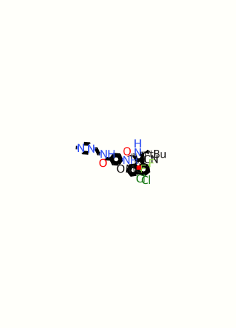 COc1cc(C(=O)NCCN2CCN(C)CC2)ccc1NC(=O)[C@@H]1N[C@@H](CC(C)(C)C)[C@](C#N)(c2ccc(Cl)cc2F)[C@H]1c1cccc(Cl)c1F